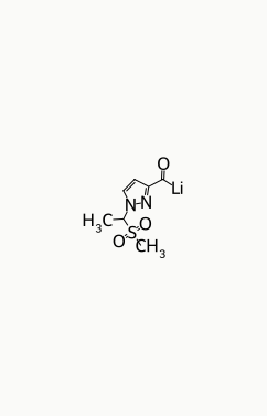 [Li][C](=O)c1ccn(C(C)S(C)(=O)=O)n1